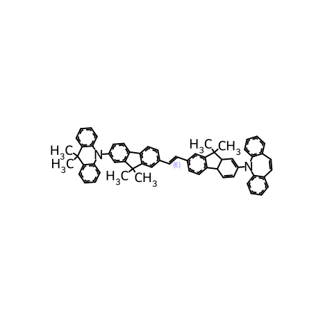 CC1(C)c2cc(/C=C/c3ccc4c(c3)C(C)(C)C3C=C(N5c6ccccc6C=Cc6ccccc65)C=CC43)ccc2-c2ccc(N3c4ccccc4C(C)(C)c4ccccc43)cc21